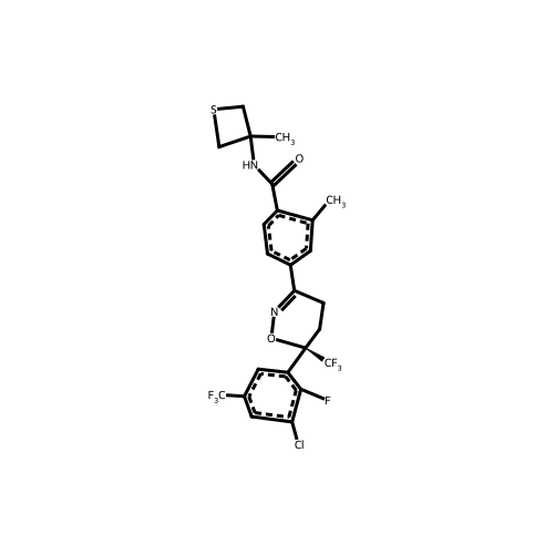 Cc1cc(C2=NO[C@](c3cc(C(F)(F)F)cc(Cl)c3F)(C(F)(F)F)CC2)ccc1C(=O)NC1(C)CSC1